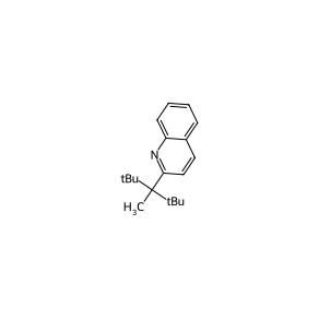 CC(C)(C)C(C)(c1ccc2ccccc2n1)C(C)(C)C